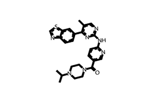 Cc1cnc(Nc2ccc(C(=O)N3CCN(C(C)C)CC3)cn2)nc1-c1ccc2ncsc2c1